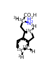 [2H][13C]1=C(C[13C]([2H])(N)C(=O)O)c2cc[13c]([2H])[13c]([2H])c2C1